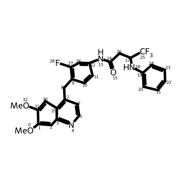 COc1cc2nccc(Cc3ccc(NC(=O)CC(Nc4ccccc4)C(F)(F)F)cc3F)c2cc1OC